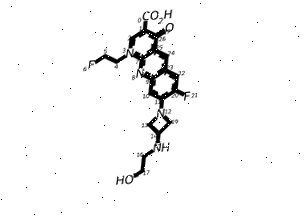 O=C(O)c1cn(CCF)c2nc3cc(N4CC(NCCO)C4)c(F)cc3cc2c1=O